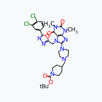 Cn1c(=O)c2c(nc(N3CCN(CC4CCN(C(=O)OC(C)(C)C)CC4)CC3)n2Cc2nnc(-c3ccc(Cl)c(Cl)c3)o2)n(C)c1=O